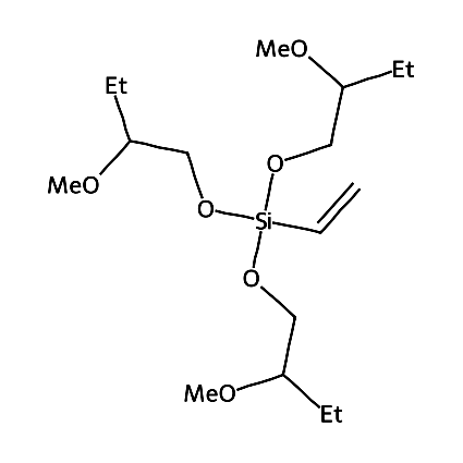 C=C[Si](OCC(CC)OC)(OCC(CC)OC)OCC(CC)OC